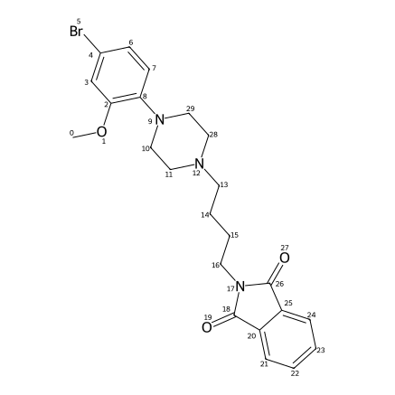 COc1cc(Br)ccc1N1CCN(CCCCN2C(=O)c3ccccc3C2=O)CC1